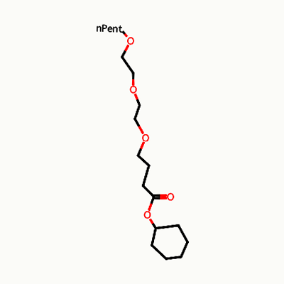 CCCCCOCCOCCOCCCC(=O)OC1CCCCC1